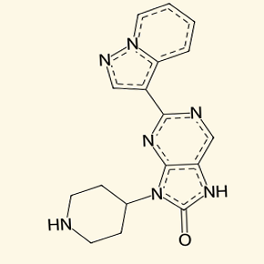 O=c1[nH]c2cnc(-c3cnn4ccccc34)nc2n1C1CCNCC1